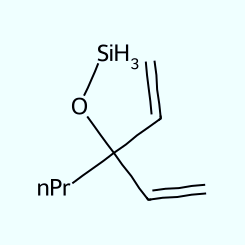 C=CC(C=C)(CCC)O[SiH3]